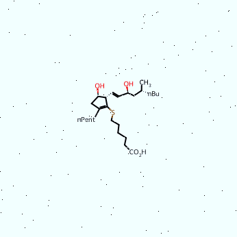 CCCCCC1=C(SCCCCCC(=O)O)[C@@H](/C=C/[C@@H](O)C[C@H](C)CCCC)[C@H](O)C1